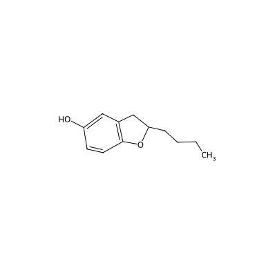 CCCCC1Cc2cc(O)ccc2O1